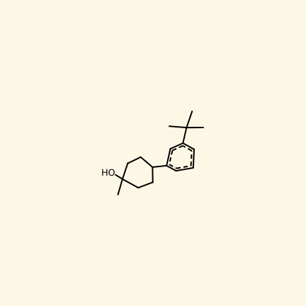 CC1(O)CCC(c2cccc(C(C)(C)C)c2)CC1